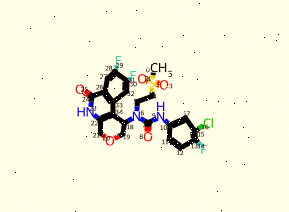 CS(=O)(=O)CCN(C(=O)Nc1ccc(F)c(Cl)c1)C1COCc2[nH]c(=O)c3cc(F)c(F)cc3c21